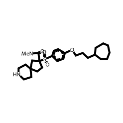 CNC(=O)C1(S(=O)(=O)c2ccc(OCCCC3CCCCCC3)cc2)CCC2(CCNCC2)C1